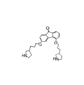 O=C1c2ccc(OCCCC3CCNC3)cc2-c2c(OCCCC3CCNC3)cccc21